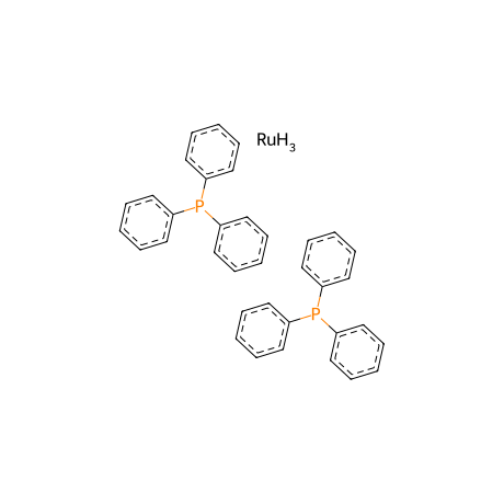 [RuH3].c1ccc(P(c2ccccc2)c2ccccc2)cc1.c1ccc(P(c2ccccc2)c2ccccc2)cc1